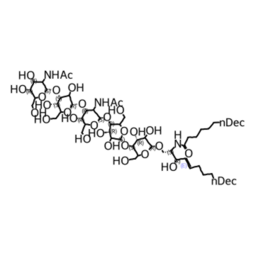 CCCCCCCCCCCCC/C=C/[C@@H](O)[C@H](CO[C@@H]1OC(CO)[C@@H](O[C@@H]2OC(CO)[C@H](O[C@@H]3OC(CO)[C@H](O)[C@H](O[C@@H]4OC(CO)[C@H](O)[C@H](O[C@@H]5OC(CO)[C@H](O)[C@H](O)C5NC(C)=O)C4O)C3NC(C)=O)[C@H](O)C2O)[C@H](O)C1O)NC(=O)CCCCCCCCCCCCCCC